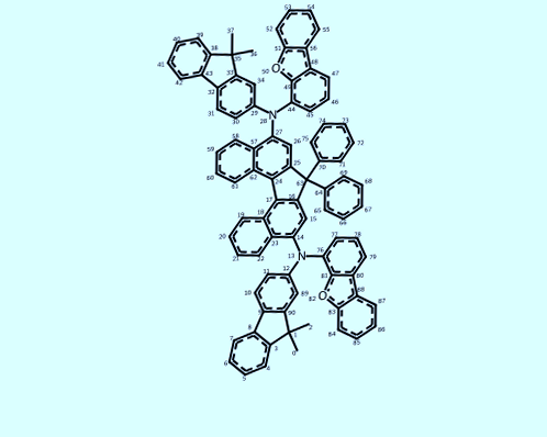 CC1(C)c2ccccc2-c2ccc(N(c3cc4c(c5ccccc35)-c3c(cc(N(c5ccc6c(c5)C(C)(C)c5ccccc5-6)c5cccc6c5oc5ccccc56)c5ccccc35)C4(c3ccccc3)c3ccccc3)c3cccc4c3oc3ccccc34)cc21